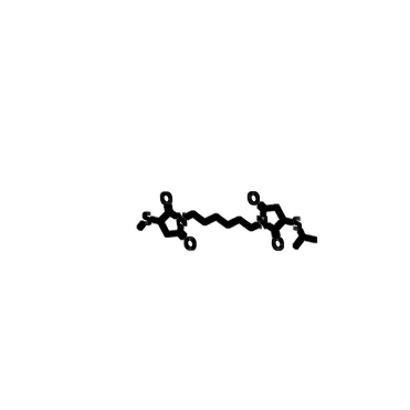 CSC1CC(=O)N(CCCCCCN2C(=O)CC(SC(C)C)C2=O)C1=O